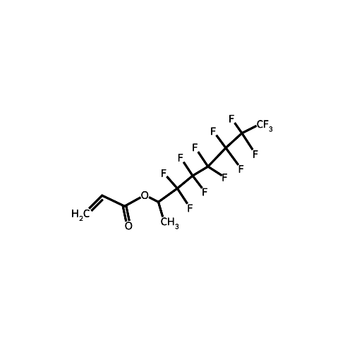 C=CC(=O)OC(C)C(F)(F)C(F)(F)C(F)(F)C(F)(F)C(F)(F)C(F)(F)F